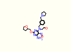 Nc1nc(OCC2CCCO2)nc(N(CC=O)Cc2cccc(CN3CCCC3)c2)c1N=O